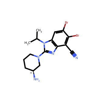 CC(C)n1c(N2CCC[C@H](N)C2)nc2c(C#N)c(Br)c(Br)cc21